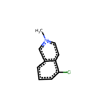 C[n+]1ccc2c(Cl)cccc2c1